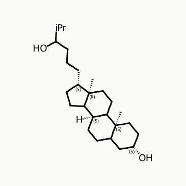 CC(C)C(O)CCC[C@H]1CCC2[C@@H]3CCC4C[C@@H](O)CC[C@]4(C)C3CC[C@@]21C